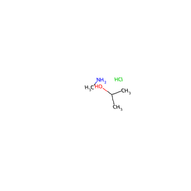 CC(C)O.CN.Cl